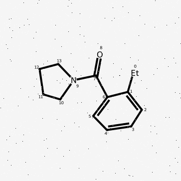 CCc1ccccc1C(=O)N1CCCC1